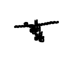 CCCCCCCCCCCCCC(=O)N[C@H](COCC[C@@H](CCCCCCC)OC)COP(=O)(O)OCCNC(=O)[C@H](CC)NC(C)=O